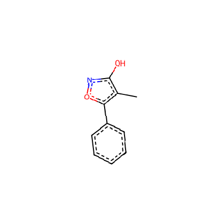 Cc1c(O)noc1-c1ccccc1